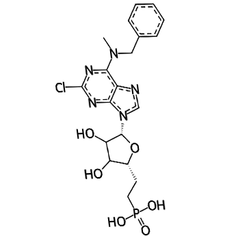 CN(Cc1ccccc1)c1nc(Cl)nc2c1ncn2[C@@H]1O[C@H](CCP(=O)(O)O)C(O)C1O